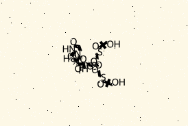 CC(C)(CO)C(=O)SCCOP(=O)(OCCSC(=O)C(C)(C)CO)OC[C@@]1(CF)O[C@@H](n2ccc(=O)[nH]c2=O)[C@](C)(O)[C@@H]1O